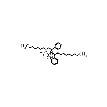 CCCCCCCCCC(c1ccccc1)N(C(C)C)C(CCCCCCCCC)c1ccccc1